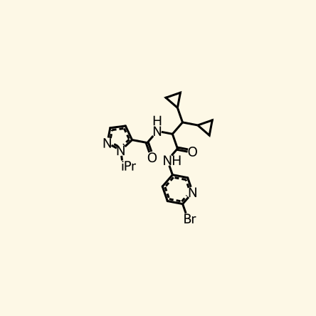 CC(C)n1nccc1C(=O)NC(C(=O)Nc1ccc(Br)nc1)C(C1CC1)C1CC1